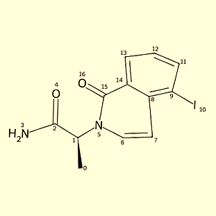 C[C@@H](C(N)=O)n1ccc2c(I)cccc2c1=O